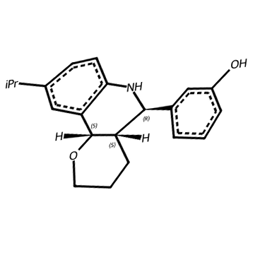 CC(C)c1ccc2c(c1)[C@H]1OCCC[C@H]1[C@H](c1cccc(O)c1)N2